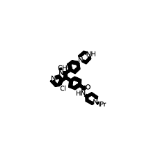 CC(C)N1CCC(NC(=O)c2ccc(-c3c(-c4ccc(N5CCNCC5)cc4)n(C)c4nccc(Cl)c34)cc2)CC1